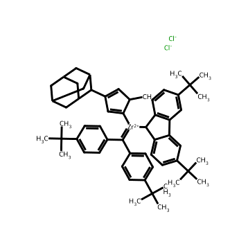 CC1C=C(C2C3CC4CC(C3)CC2C4)C=[C]1[Zr+2](=[C](c1ccc(C(C)(C)C)cc1)c1ccc(C(C)(C)C)cc1)[CH]1c2ccc(C(C)(C)C)cc2-c2cc(C(C)(C)C)ccc21.[Cl-].[Cl-]